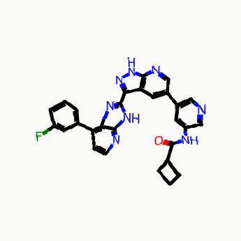 O=C(Nc1cncc(-c2cnc3[nH]nc(-c4nc5c(-c6cccc(F)c6)ccnc5[nH]4)c3c2)c1)C1CCC1